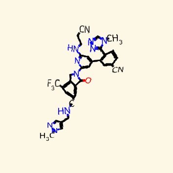 Cn1cc(CNCc2cc3c(c(C(F)(F)F)c2)CN(c2cc(-c4cc(C#N)ccc4-c4nncn4C)cc(NCCC#N)n2)C3=O)cn1